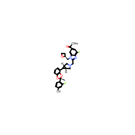 COC(=O)c1cc(F)c2nc(CN3C[C@@H]4C(c5cccc6c5O[C@](C)(c5ccc(C#N)cc5F)O6)[C@@H]4C3)n(C[C@@H]3CCO3)c2c1